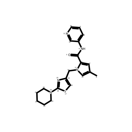 Cc1cc(C(=O)Nc2cccnc2)n(Cc2csc(N3CCCCC3)n2)c1